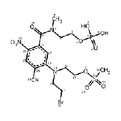 CN(CCOP(=O)(O)O)C(=O)c1cc(N(CCBr)CCOS(C)(=O)=O)c(C#N)cc1[N+](=O)[O-]